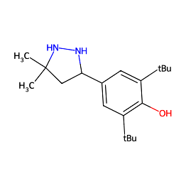 CC1(C)CC(c2cc(C(C)(C)C)c(O)c(C(C)(C)C)c2)NN1